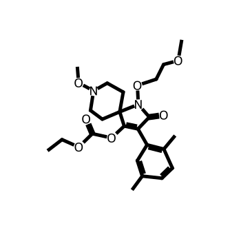 CCOC(=O)OC1=C(c2cc(C)ccc2C)C(=O)N(OCCOC)C12CCN(OC)CC2